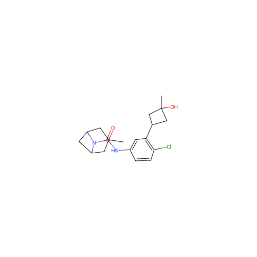 CC1CC2CC(C1)N2C(=O)Nc1ccc(Cl)c(C2CC(C)(O)C2)c1